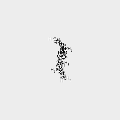 Cc1c(NC(=O)c2nc3c(n2C)CCN(C[C@@H](C)O)C3)cccc1-c1cccc(NC(=O)c2nc3c(n2C)CCN(C2CCC(C)CC2)C3)c1Cl